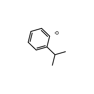 CC(C)c1ccccc1.[O]